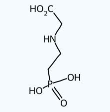 O=C(O)CNCCP(=O)(O)O